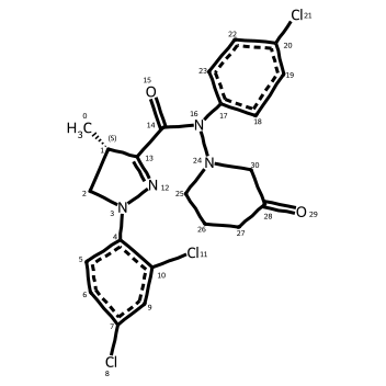 C[C@H]1CN(c2ccc(Cl)cc2Cl)N=C1C(=O)N(c1ccc(Cl)cc1)N1CCCC(=O)C1